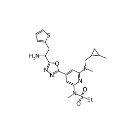 CCS(=O)(=O)N(C)c1cc(-c2nnc(C(N)Cc3cccs3)o2)cc(N(C)CC2CC2C)n1